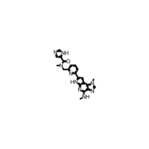 CNc1nc2[nH]c(-c3cccc(CN(C)C(=O)c4cnc[nH]4)n3)cc2c2c1ncn2C